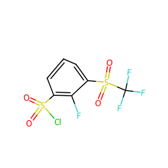 O=S(=O)(Cl)c1cccc(S(=O)(=O)C(F)(F)F)c1F